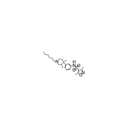 CCCCCCN1CC[C@](C)(c2cccc(NS(=O)(=O)c3c(C)noc3C)c2)[C@@H](C)C1